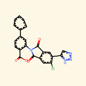 O=C(O)c1ccc(-c2ccccc2)cc1N1C(=O)c2cc(Cl)c(-c3cnn[nH]3)cc2C1=O